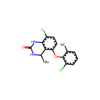 CCCCC1NC(=O)Nc2c(Cl)ccc(Oc3c(Cl)cccc3C#N)c21